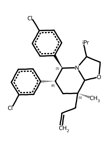 C=CC[C@@]1(C)C[C@H](c2cccc(Cl)c2)[C@@H](c2ccc(Cl)cc2)N2C(C(C)C)COC21